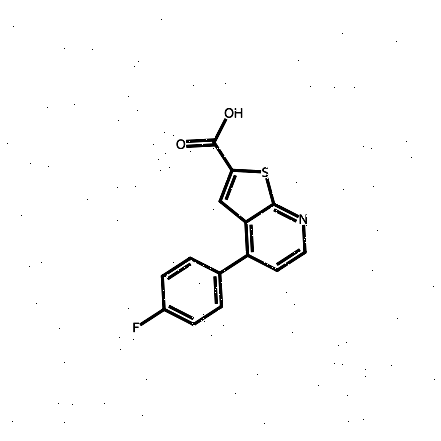 O=C(O)c1cc2c(-c3ccc(F)cc3)ccnc2s1